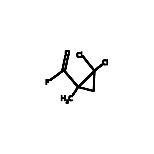 CC1(C(=O)F)CC1(Cl)Cl